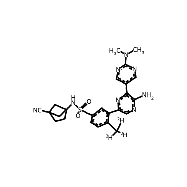 [2H]C([2H])([2H])c1ccc(S(=O)(=O)NC23CCC(C#N)(C2)C3)cc1-c1cnc(N)c(-c2cnc(N(C)C)nc2)n1